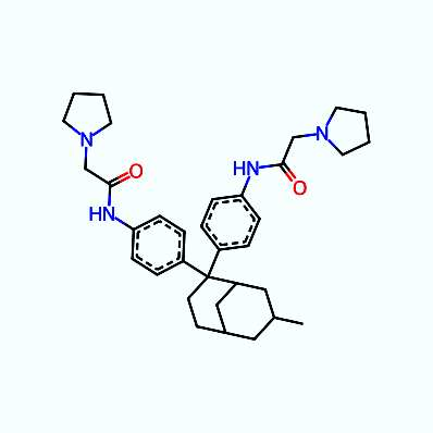 CC1CC2CCC(c3ccc(NC(=O)CN4CCCC4)cc3)(c3ccc(NC(=O)CN4CCCC4)cc3)C(C1)C2